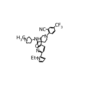 CCn1cccc1-c1ccc(C2(C(=O)N[C@H]3CCN(C)C3)CCN(c3ccc(C(F)(F)F)cc3C#N)CC2)cn1